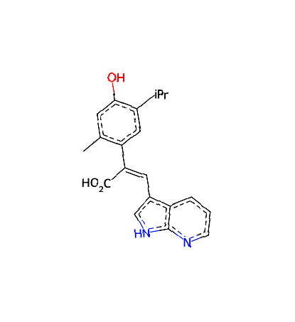 Cc1cc(O)c(C(C)C)cc1/C(=C/c1c[nH]c2ncccc12)C(=O)O